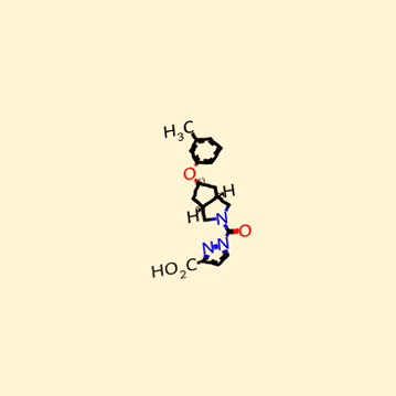 Cc1cccc(O[C@H]2C[C@@H]3CN(C(=O)n4ccc(C(=O)O)n4)C[C@@H]3C2)c1